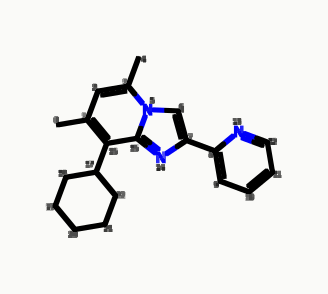 Cc1cc(C)n2[c]c(-c3ccccn3)nc2c1C1CCCCC1